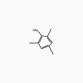 Cc1cc(C)c([SeH])c(C)c1